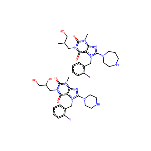 CC(CO)Cn1c(=O)c2c(nc(N3CCCNCC3)n2Cc2ccccc2I)n(C)c1=O.Cn1c(=O)n(CC(O)CO)c(=O)c2c1nc(N1CCNCC1)n2Cc1ccccc1I